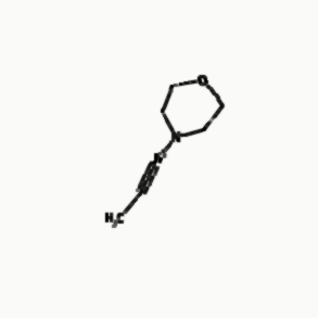 CC#[N+]N1CCOCC1